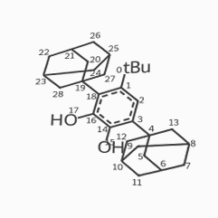 CC(C)(C)c1cc(C23CC4CC(CC(C4)C2)C3)c(O)c(O)c1C12CC3CC(CC(C3)C1)C2